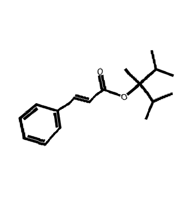 CC(C)C(C)(OC(=O)C=Cc1ccccc1)C(C)C